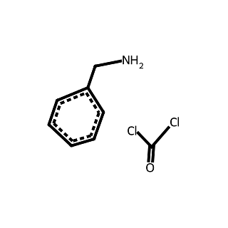 NCc1ccccc1.O=C(Cl)Cl